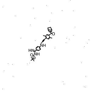 Cc1cc(C(=O)N2C3CCC2CC3)c(C)cc1C#CCNc1ccc(C(=N)NC(=O)OC(C)(C)C)cc1